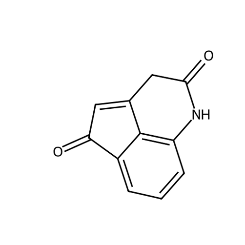 O=C1CC2=CC(=O)c3cccc(c32)N1